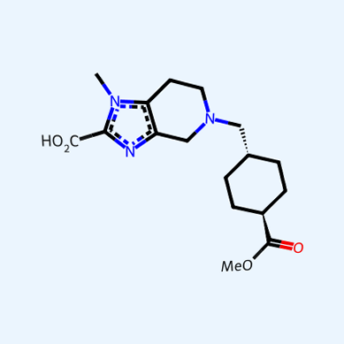 COC(=O)[C@H]1CC[C@H](CN2CCc3c(nc(C(=O)O)n3C)C2)CC1